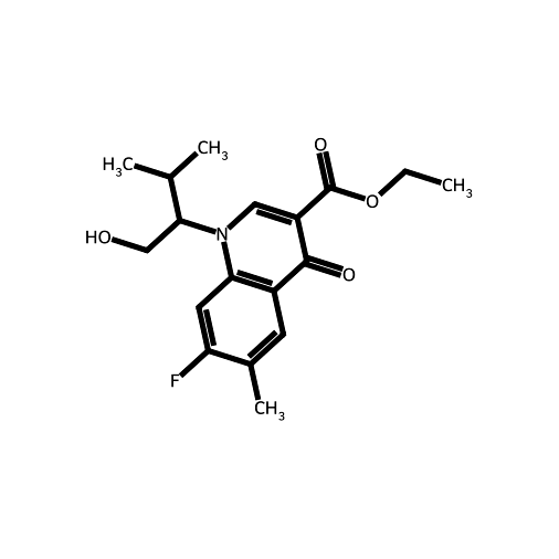 CCOC(=O)c1cn(C(CO)C(C)C)c2cc(F)c(C)cc2c1=O